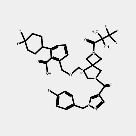 CC(C)(C(=O)N1CC2(CN(C(=O)c3cnn(Cc4ccc(F)cc4)c3)C[C@H]2COCc2cccc(C3CCC(F)(F)CC3)c2C(=O)O)C1)C(F)(F)F